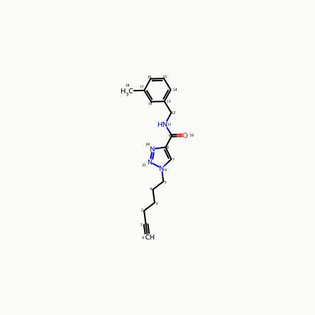 C#CCCCCn1cc(C(=O)NCc2cccc(C)c2)nn1